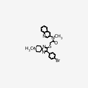 CN1CCC2(CC1)N=C(SCC(=O)N(C)c1cnc3ccccc3c1)C(c1ccc(Br)cc1)=N2